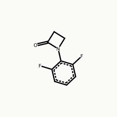 O=C1CCN1c1c(F)cccc1F